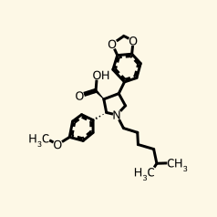 COc1ccc([C@@H]2[C@@H](C(=O)O)C(c3ccc4c(c3)OCO4)CN2CCCCC(C)C)cc1